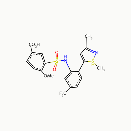 COc1ccc(C(=O)O)cc1S(=O)(=O)Nc1cc(C(F)(F)F)ccc1C1=CC(C)=N[SH]1C